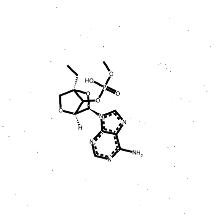 CC[C@@]12CO[C@@H](C1OP(=O)(O)OC)[C@H](n1cnc3c(N)ncnc31)O2